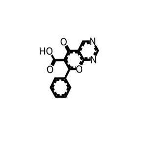 O=C(O)c1c(-c2ccccc2)oc2ncncc2c1=O